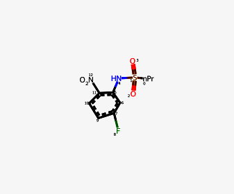 CCCS(=O)(=O)Nc1cc(F)ccc1[N+](=O)[O-]